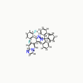 Fc1cccc(F)c1-c1nn(C(c2ccccc2)(c2ccccc2)c2ccccc2)cc1-c1ccc2nccn2c1